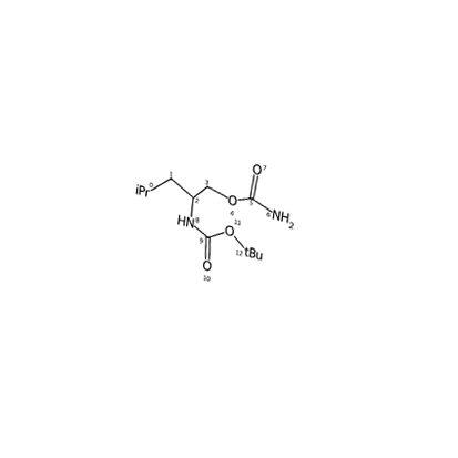 CC(C)CC(COC(N)=O)NC(=O)OC(C)(C)C